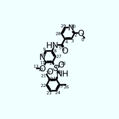 COc1cc(C(=O)Nc2cnc(OC)c(S(=O)(=O)Nc3c(C)cccc3C)c2)ccn1